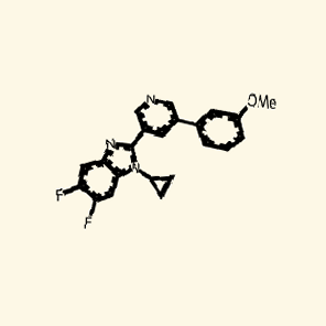 COc1cccc(-c2cncc(-c3nc4cc(F)c(F)cc4n3C3CC3)c2)c1